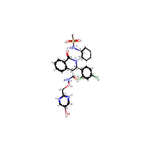 CS(=O)(=O)N[C@H]1CCCC[C@@H]1N1C(=O)c2ccccc2[C@@H](C(=O)NOCc2ncc(O)cn2)[C@@H]1c1ccc(Cl)cc1Cl